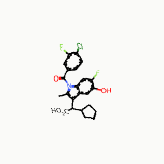 Cc1c(C(C(=O)O)C2CCCC2)c2cc(O)c(F)cc2n1C(=O)c1ccc(Cl)c(F)c1